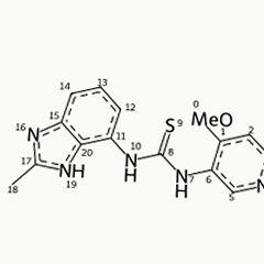 COc1ccncc1NC(=S)Nc1cccc2nc(C)[nH]c12